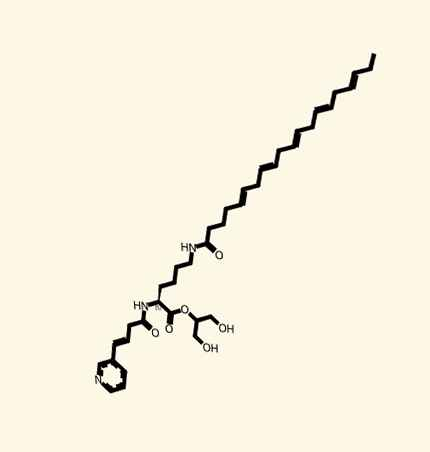 CCC=CCC=CCC=CCC=CCC=CCCCC(=O)NCCCC[C@H](NC(=O)CC=Cc1cccnc1)C(=O)OC(CO)CO